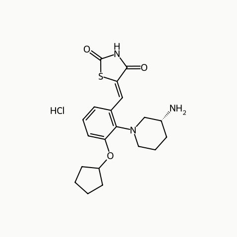 Cl.N[C@@H]1CCCN(c2c(/C=C3\SC(=O)NC3=O)cccc2OC2CCCC2)C1